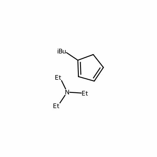 CCC(C)C1=CC=CC1.CCN(CC)CC